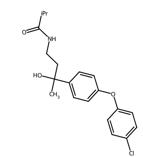 CC(C)C(=O)NCCC(C)(O)c1ccc(Oc2ccc(Cl)cc2)cc1